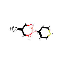 C=C1COB(C2=CCSCC2)OC1